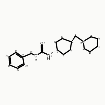 O=C(N[C@H]1CC[C@H](CN2CCCCC2)CC1)OCc1ccccc1